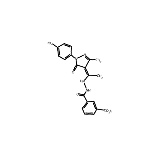 CC1=NN(c2ccc(C(C)(C)C)cc2)C(=O)/C1=C(/C)NNC(=O)c1cccc(C(=O)O)c1